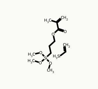 C=C(C)C(=O)OCCC[Si](OC)(OC)OC.C=C[SiH3]